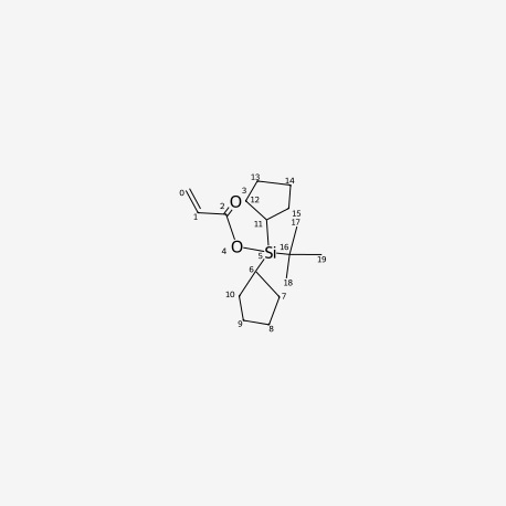 C=CC(=O)O[Si](C1CCCC1)(C1CCCC1)C(C)(C)C